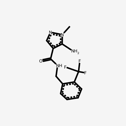 Cn1ncc(C(=O)NCc2ccccc2C(F)(F)F)c1N